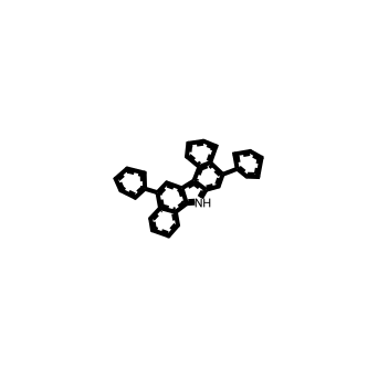 c1ccc(-c2cc3c([nH]c4cc(-c5ccccc5)c5ccccc5c43)c3ccccc23)cc1